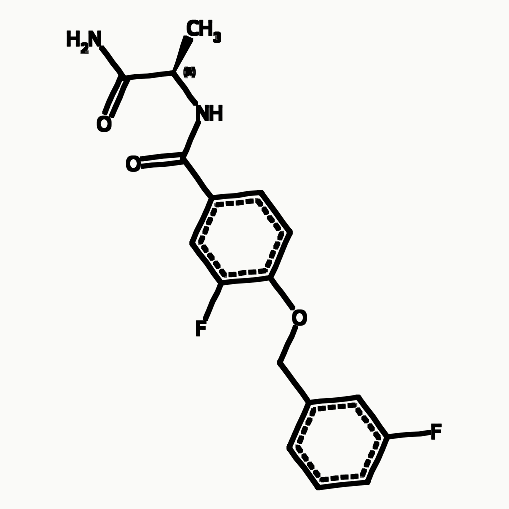 C[C@@H](NC(=O)c1ccc(OCc2cccc(F)c2)c(F)c1)C(N)=O